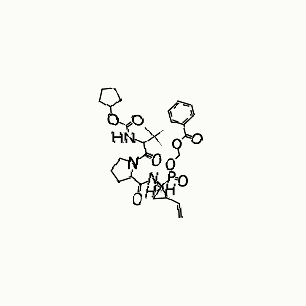 C=CC1C[C@]1(NC(=O)C1CCCN1C(=O)C(NC(=O)OC1CCCC1)C(C)(C)C)[PH](=O)OCOC(=O)c1ccccc1